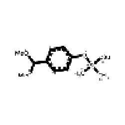 COC(OC)c1ccc(O[Si](C)(C)C(C)(C)C)cc1